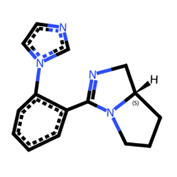 c1ccc(-n2ccnc2)c(C2=NC[C@@H]3CCCN23)c1